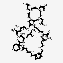 CC[C@H](C)[C@H](NC(=O)[C@H](CCC(C)C)NC(=O)C1(NC(=O)CCSCc2cccc(CSCCC(=O)N[C@@H](CCCCNC(=O)CN3CCN(CC(=O)O)CCN(CC(=O)O)CCN(CC(=O)O)CC3)C(N)=O)n2)CCOCC1)C(N)=O